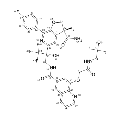 CC(C)(O)CNC(=O)COc1cc(C(=O)NC[C@](O)(c2cc3c(c(-c4ccc(F)cc4)n2)OC[C@]3(C)C(N)=O)C(F)(F)F)cc2cccnc12